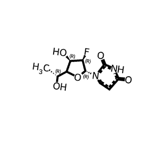 C[C@@H](O)C1O[C@@H](n2ccc(=O)[nH]c2=O)[C@H](F)[C@@H]1O